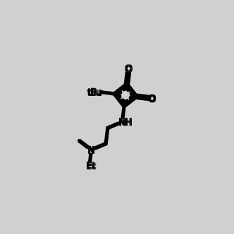 CCN(C)CCNc1c(C(C)(C)C)c(=O)c1=O